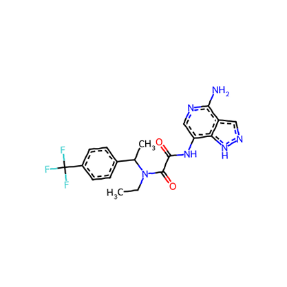 CCN(C(=O)C(=O)Nc1cnc(N)c2cn[nH]c12)C(C)c1ccc(C(F)(F)F)cc1